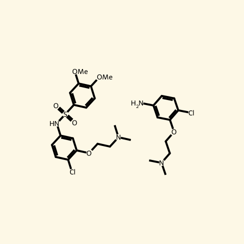 CN(C)CCOc1cc(N)ccc1Cl.COc1ccc(S(=O)(=O)Nc2ccc(Cl)c(OCCN(C)C)c2)cc1OC